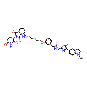 CC(=O)N1CCc2cc(-c3nc(NC(=O)Cc4cccc(OCCCCCNc5cccc6c5C(=O)N(C5CCC(=O)NC5=O)C6=O)c4)sc3C)ccc21